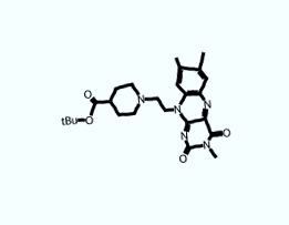 Cc1cc2nc3c(=O)n(C)c(=O)nc-3n(CCN3CCC(C(=O)OC(C)(C)C)CC3)c2cc1C